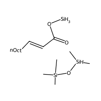 CCCCCCCCC=CC(=O)O[SiH3].C[SiH](C)O[Si](C)(C)C